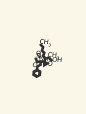 CCCCCCC(C(C)C(=O)O)C1(C2(CCc3ccccc3)N[N+](=O)CC2=O)CC1